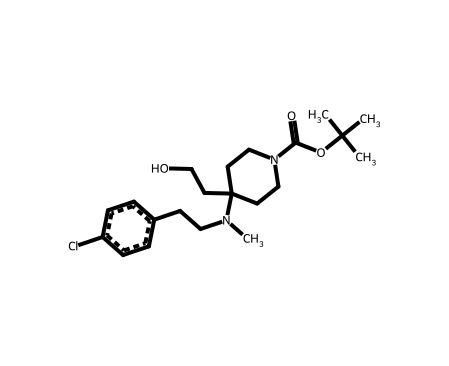 CN(CCc1ccc(Cl)cc1)C1(CCO)CCN(C(=O)OC(C)(C)C)CC1